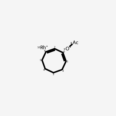 C1=CCCCCC=C1.CC(=O)[O-].[Rh+]